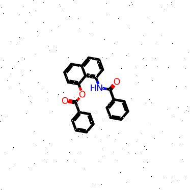 O=C(Nc1cccc2cccc(OC(=O)c3ccccc3)c12)c1ccccc1